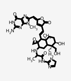 CC(NC1CC2[C@](C)(CC[C@@H](O)[C@@]2(C)CO)C(/C=C/C2=CC(=C\c3nc4c(=O)[nH]c(N)nc4n3C)/OC2=O)C12CO2)C(=O)NC1=NCC=N1